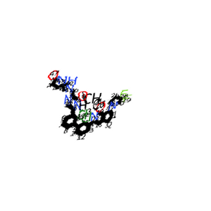 COc1nc(-c2cccc(-c3cccc(-c4cc5c(c(OC)n4)C(N4CCC(F)(F)C4)CC5)c3Cl)c2Cl)cnc1CN1CC2(CCC(=O)N2)C1